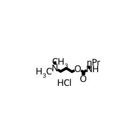 CCCNC(=O)OCCCN(C)C.Cl